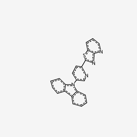 c1cnc2nc(-c3ccc(-n4c5ccccc5c5ccccc54)cn3)sc2c1